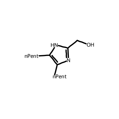 CCCCCc1nc(CO)[nH]c1CCCCC